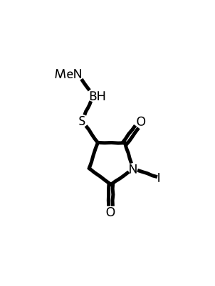 CNBSC1CC(=O)N(I)C1=O